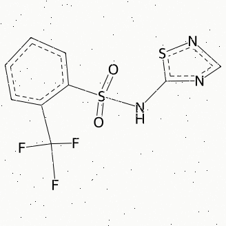 O=S(=O)(Nc1ncns1)c1ccccc1C(F)(F)F